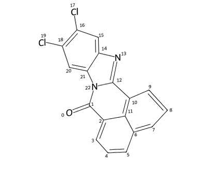 O=c1c2cccc3cccc(c32)c2nc3cc(Cl)c(Cl)cc3n12